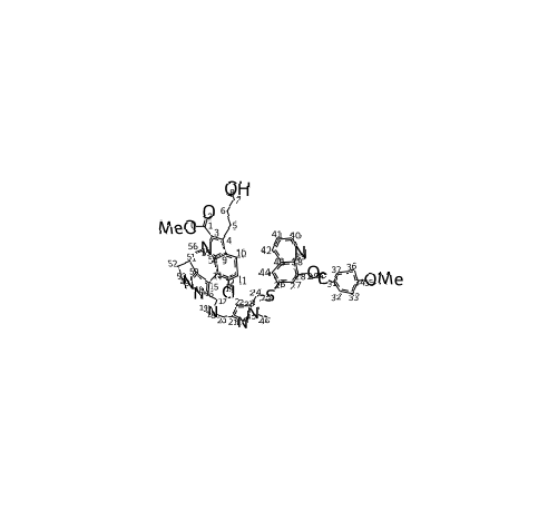 COC(=O)c1c(CCCO)c2ccc(Cl)c(-c3c(CN(C)Cc4cc(CSc5cc(OCc6ccc(OC)cc6)c6ncccc6c5)n(C)n4)nn4c3CCC4)c2n1C